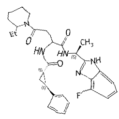 CCC1CCCCN1C(=O)CC(NC(=O)[C@H]1C[C@@H]1c1ccccc1)C(=O)N[C@@H](C)c1nc2c(F)cccc2[nH]1